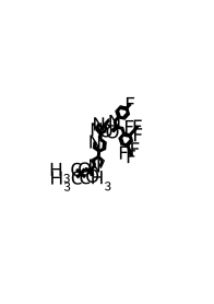 CC(C)(C)OC(=O)N1CCC(c2ccc(-c3nnc(CN(C(=O)Cc4ccc(C(F)(F)F)cc4C(F)(F)F)c4ccc(F)cc4)o3)nc2)C1